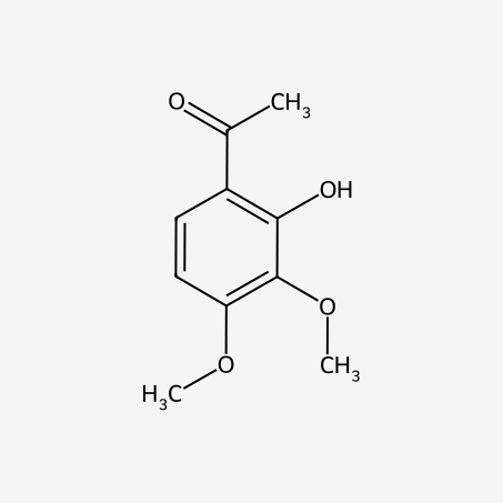 COc1ccc(C(C)=O)c(O)c1OC